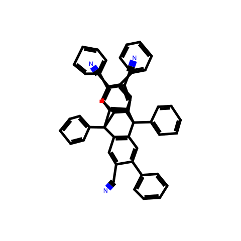 N#Cc1cc2c(cc1-c1ccccc1)C1(c3ccccc3)c3cc(C#N)c(-c4ccccc4)cc3C2(c2ccccc2)c2cc(-c3ccccc3)c(C#N)cc21